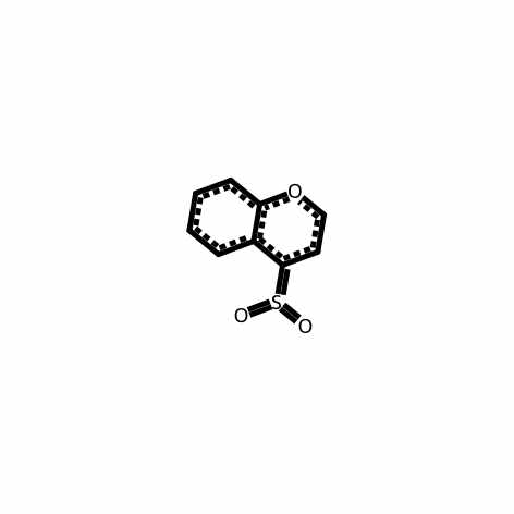 O=S(=O)=c1ccoc2ccccc12